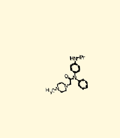 CC(C)Nc1ccc(N(C(=O)CN2CCN(C)CC2)c2ccccc2)cc1